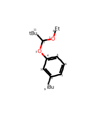 CCOC(Oc1cccc(C(C)CC)c1)C(C)(C)C